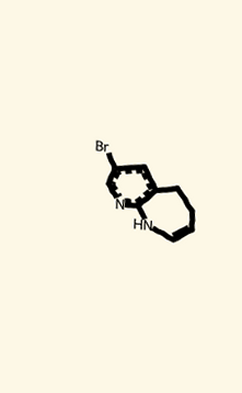 Brc1cnc2c(c1)CCC=CN2